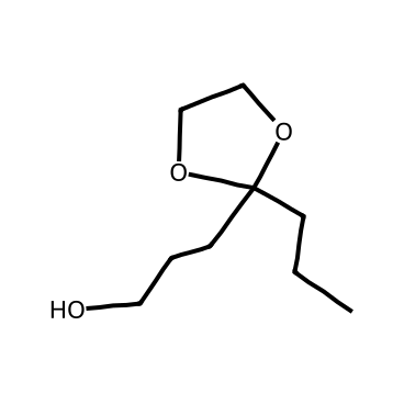 CCCC1(CCCO)OCCO1